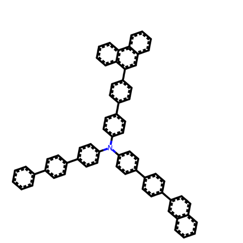 c1ccc(-c2ccc(-c3ccc(N(c4ccc(-c5ccc(-c6ccc7ccccc7c6)cc5)cc4)c4ccc(-c5ccc(-c6cc7ccccc7c7ccccc67)cc5)cc4)cc3)cc2)cc1